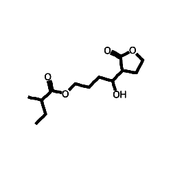 CCC(C)C(=O)OCCCC(O)C1CCOC1=O